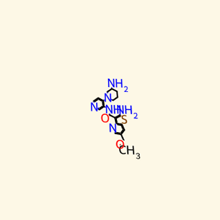 COCc1cnc2c(C(=O)Nc3cnccc3N3CCC[C@@H](N)C3)c(N)sc2c1